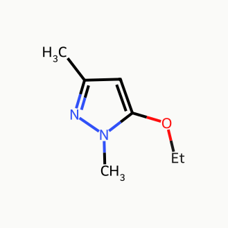 CCOc1cc(C)nn1C